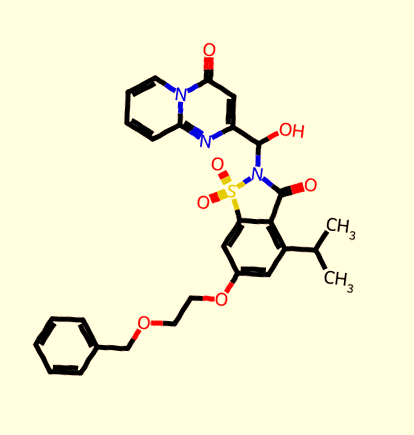 CC(C)c1cc(OCCOCc2ccccc2)cc2c1C(=O)N(C(O)c1cc(=O)n3ccccc3n1)S2(=O)=O